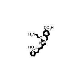 NCCOc1nc(/C=C(/Cc2cccs2)C(=O)O)cn1Cc1ccc(C(=O)O)cc1